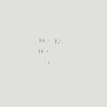 [Nb+5].[OH-].[OH-].[Ta+5]